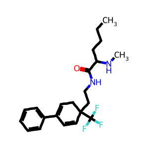 CCCCC(NC)C(=O)NCCC1(C(F)(F)F)C=CC(c2ccccc2)=CC1